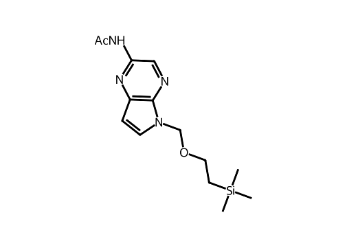 CC(=O)Nc1cnc2c(ccn2COCC[Si](C)(C)C)n1